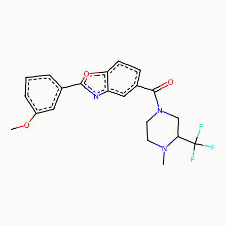 COc1cccc(-c2nc3cc(C(=O)N4CCN(C)C(C(F)(F)F)C4)ccc3o2)c1